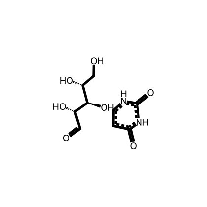 O=C[C@H](O)[C@H](O)[C@H](O)CO.O=c1cc[nH]c(=O)[nH]1